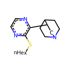 CCCCCCSc1nccnc1C1CN2CCC1CC2